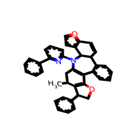 CC1CC2=C(C3=C1C(c1ccccc1)CO3)c1ccccc1C1C=Cc3occc3C1N2c1cccc(-c2ccccc2)n1